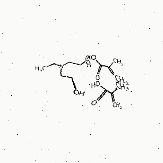 C=C(C)C(=O)O.C=C(C)C(=O)O.CCN(CCO)CCO